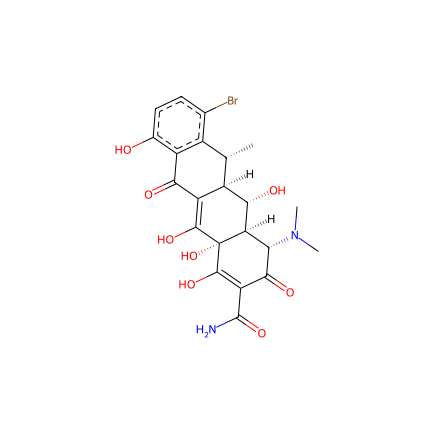 C[C@H]1c2c(Br)ccc(O)c2C(=O)C2=C(O)[C@]3(O)C(O)=C(C(N)=O)C(=O)[C@@H](N(C)C)[C@@H]3[C@@H](O)[C@@H]21